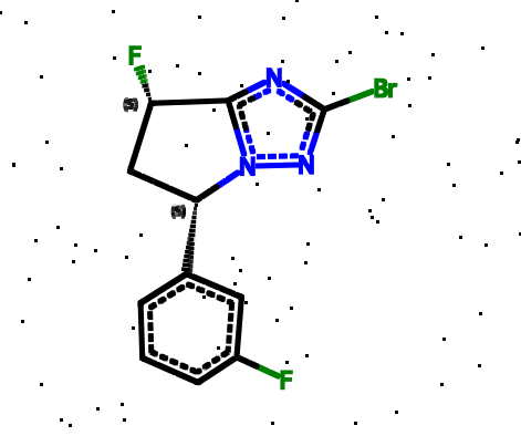 Fc1cccc([C@@H]2C[C@H](F)c3nc(Br)nn32)c1